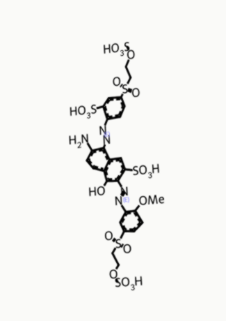 COc1ccc(S(=O)(=O)CCOS(=O)(=O)O)cc1/N=N/c1c(S(=O)(=O)O)cc2c(/N=N/c3ccc(S(=O)(=O)CCOS(=O)(=O)O)cc3S(=O)(=O)O)c(N)ccc2c1O